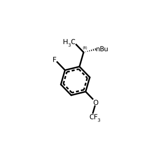 CCCC[C@@H](C)c1cc(OC(F)(F)F)ccc1F